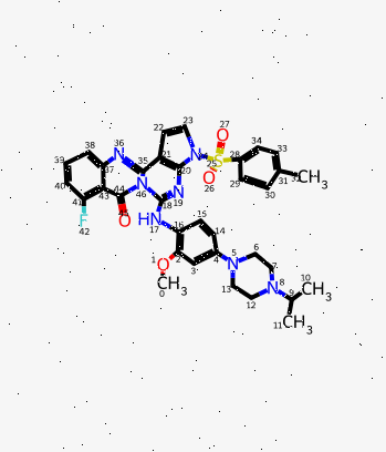 COc1cc(N2CCN(C(C)C)CC2)ccc1Nc1nc2c(ccn2S(=O)(=O)c2ccc(C)cc2)c2nc3cccc(F)c3c(=O)n12